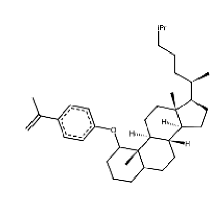 C=C(C)c1ccc(OC2CCCC3CC[C@@H]4[C@H](CC[C@]5(C)[C@@H]([C@H](C)CCCC(C)C)CC[C@@H]45)[C@]32C)cc1